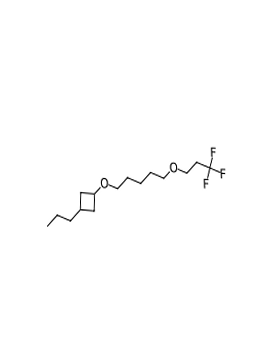 CCCC1CC(OCCCCCOCCC(F)(F)F)C1